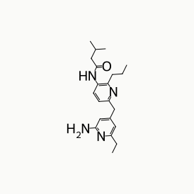 CCCc1nc(Cc2cc(N)nc(CC)c2)ccc1NC(=O)CC(C)C